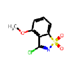 COc1cccc2c1C(Cl)=NS2(=O)=O